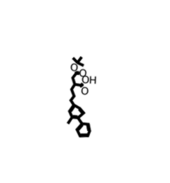 Cc1cc(CCCC(CC(=O)OC(C)(C)C)C(=O)O)ccc1-c1ccccc1